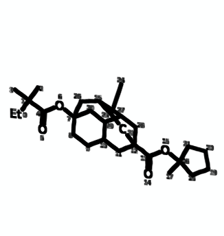 CCC(C)(C)C(=O)OC12CCC3CC4(C(=O)OC5(C)CCCC5)CC(C)C(C1)C(C4)C3C2